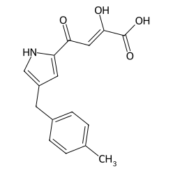 Cc1ccc(Cc2c[nH]c(C(=O)/C=C(\O)C(=O)O)c2)cc1